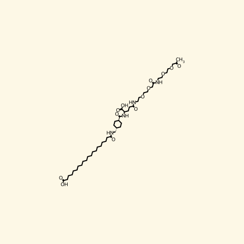 CC(=O)COCCOCCNC(=O)COCCOCCNC(=O)CCC(NC(=O)[C@H]1CC[C@H](CNC(=O)CCCCCCCCCCCCCCCCCCC(=O)O)CC1)C(=O)O